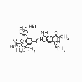 Br.CCOc1cc2c(cc1C(=O)NC)C(=N)N(CC(=O)c1cc(N(CC)CC)c(OCC(=O)O)c(C(C)(C)C)c1)C2